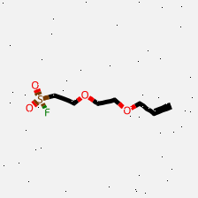 C=CCOCCOCCS(=O)(=O)F